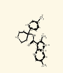 Cc1cnc2c(C(=O)NC3(c4ccc(C(F)(F)F)cn4)CCOCC3)c(C)nn2c1